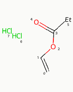 C=COC(=O)CC.Cl.Cl